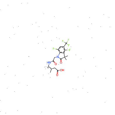 CC(CC(=O)O)[C@H](C)NC(=O)CN1C(=O)C(C)(C)c2c(F)c(C(F)(F)F)cc(F)c21